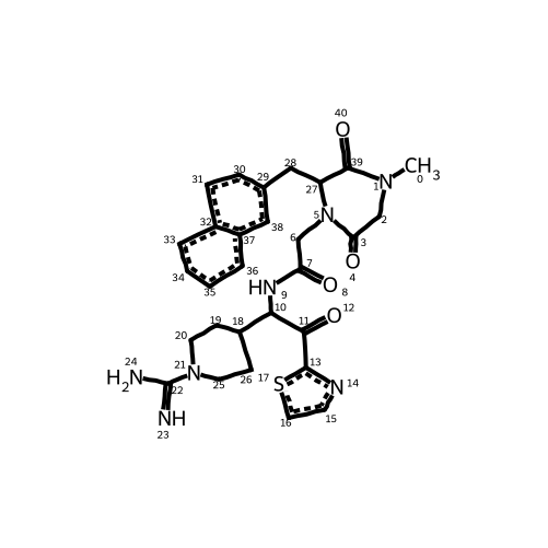 CN1CC(=O)N(CC(=O)NC(C(=O)c2nccs2)C2CCN(C(=N)N)CC2)C(Cc2ccc3ccccc3c2)C1=O